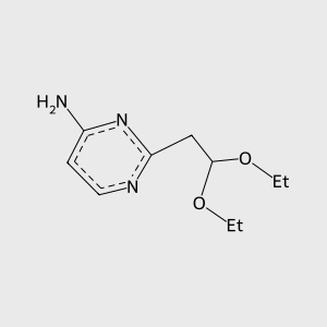 CCOC(Cc1nccc(N)n1)OCC